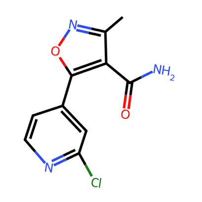 Cc1noc(-c2ccnc(Cl)c2)c1C(N)=O